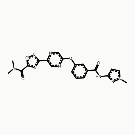 CN(C)C(=O)c1nc(-c2cnc(Oc3cccc(C(=O)Nc4ccn(C)n4)c3)cn2)no1